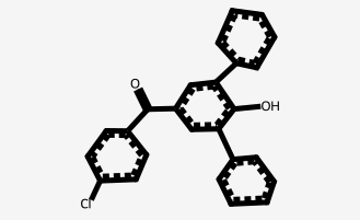 O=C(c1ccc(Cl)cc1)c1cc(-c2ccccc2)c(O)c(-c2ccccc2)c1